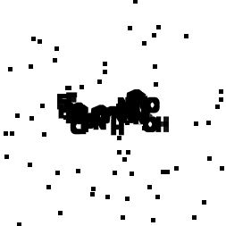 CN1c2nc(NCc3ccc(Oc4ccc(C(F)(F)F)nc4Cl)nc3)nc3c2N(CCC3)C(=O)[C@@H]1CO